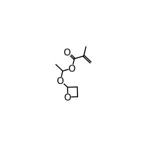 C=C(C)C(=O)OC(C)OC1CCO1